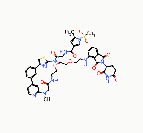 Cc1cc(C(=O)NCC(=O)Nc2nc(-c3cccc(-c4ccnc(N(C)CC(=O)NCCOCCOCCNc5cccc6c5C(=O)N(C5CCC(=O)NC5=O)C6=O)c4)c3)cs2)cn1S(C)(=O)=O